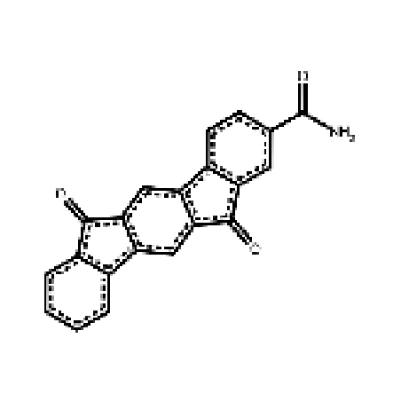 NC(=O)c1ccc2c(c1)c(=O)c1cc3c(cc12)c(=O)c1ccccc13